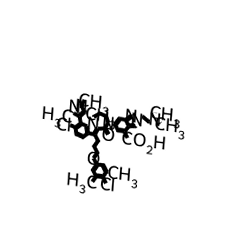 Cc1cc(OCCCc2c3n(c4c(-c5c(C)nn(C)c5C)c(Cl)ccc24)CCCN(c2cc(C(=O)O)c4cn(CCN(C)C)nc4c2)C3=O)cc(C)c1Cl